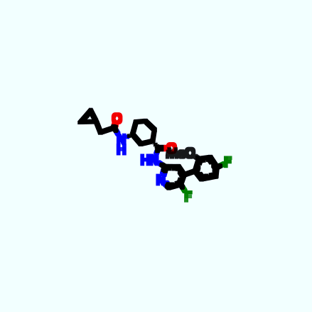 COc1cc(F)ccc1-c1cc(NC(=O)[C@H]2CCC[C@@H](NC(=O)CC3CC3)C2)ncc1F